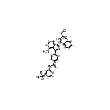 Nc1ncnc2c1c(-c1ccc(C(=O)Nc3cc(C(F)(F)F)ccn3)cc1)nn2C(NC(=O)CCl)c1ccccc1